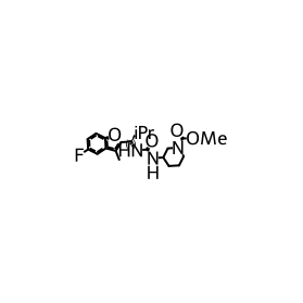 COC(=O)N1CCCC(NC(=O)N[C@@H](c2oc3ccc(F)cc3c2C)C(C)C)C1